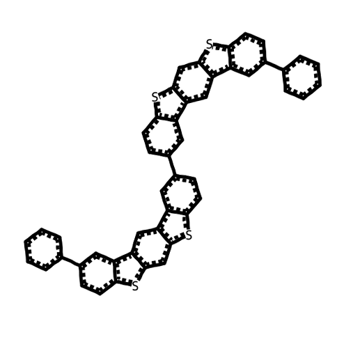 c1ccc(-c2ccc3sc4cc5sc6ccc(-c7ccc8sc9cc%10sc%11ccc(-c%12ccccc%12)cc%11c%10cc9c8c7)cc6c5cc4c3c2)cc1